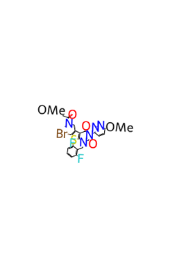 COCC(=O)N(C)Cc1c(Br)sc2c1c(=O)n(-c1ccc(OC)nn1)c(=O)n2Cc1c(F)cccc1F